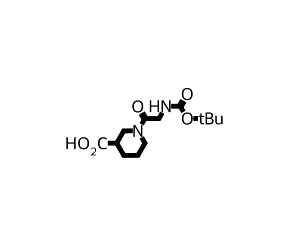 CC(C)(C)OC(=O)NCC(=O)N1CCCC(C(=O)O)C1